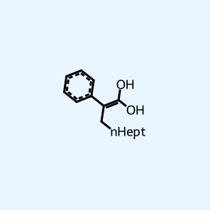 CCCCCCCCC(=C(O)O)c1ccccc1